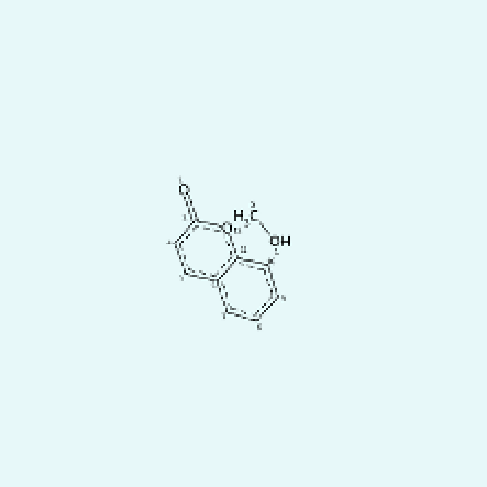 CO.O=c1ccc2ccccc2o1